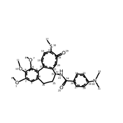 COc1cc2c(c(OC)c1OC)-c1ccc(SC)c(=O)cc1[C@@H](NC(=O)c1ccc(N(C)C)cc1)CC2